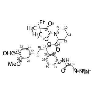 CCC(C)(C)C(=O)C(=O)N1CCCC[C@H]1C(=O)O[C@H](CCc1ccc(C=O)c(OC)c1)c1cccc(NC(=O)CN=[N+]=[N-])c1